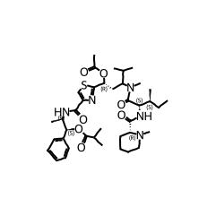 CC[C@H](C)[C@H](NC(=O)[C@H]1CCCCN1C)C(=O)N(C)C(C[C@@H](OC(C)=O)c1nc(C(=O)N[C@H](C)[C@@H](OC(=O)C(C)C)c2ccccc2)cs1)C(C)C